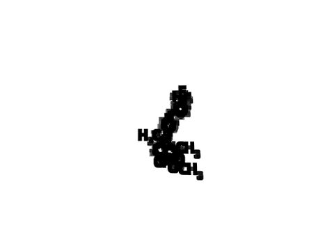 CC(=O)O[C@@H]1[CH][C@@]2(O)[C@H](C)CC[C@@H](C(C)CN3CCN(Cc4cccc(C(F)(F)F)c4)CC3)[C@H]2C=C1C